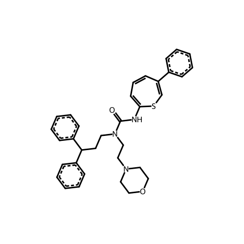 O=C(NC1=CC=CC(c2ccccc2)=CS1)N(CCC(c1ccccc1)c1ccccc1)CCN1CCOCC1